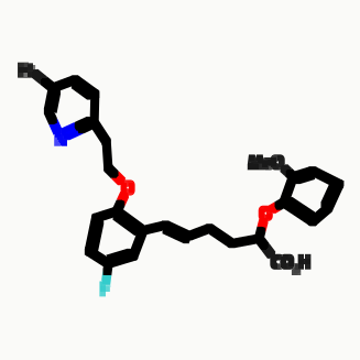 CCc1ccc(CCOc2ccc(F)cc2/C=C/CCC(Oc2ccccc2OC)C(=O)O)nc1